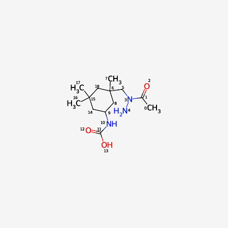 CC(=O)N(N)CC1(C)CC(NC(=O)O)CC(C)(C)C1